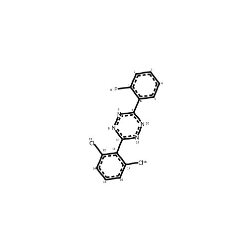 Fc1ccccc1-c1nnc(-c2c(Cl)cccc2Cl)nn1